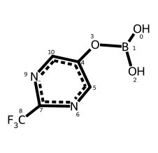 OB(O)Oc1cnc(C(F)(F)F)nc1